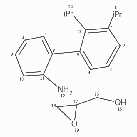 CC(C)c1cccc(-c2ccccc2N)c1C(C)C.OCC1CO1